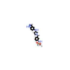 CS(=O)(=O)Nc1cccc(CN2CC[C@@H](Nc3ccc4[nH]ncc4c3)C2)c1